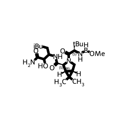 CCC(C)CC(NC(=O)[C@@H]1[C@@H]2[C@H](CN1C(=O)[C@@H](NBOC)C(C)(C)C)C2(C)C)C(O)C(N)=O